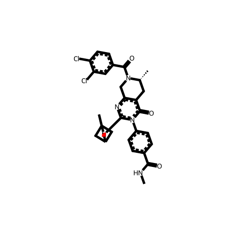 CNC(=O)c1ccc(-n2c(N3CC4CC3(C)C4)nc3c(c2=O)C[C@@H](C)N(C(=O)c2ccc(Cl)c(Cl)c2)C3)cc1